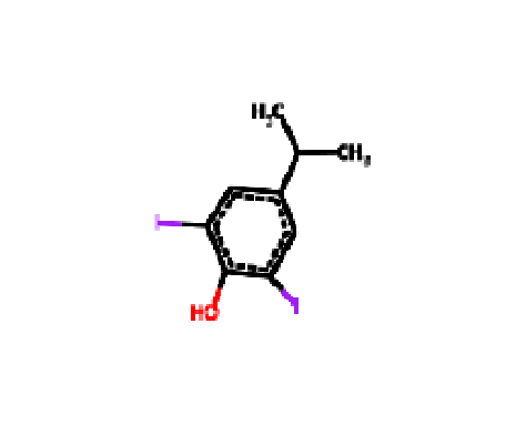 CC(C)c1cc(I)c(O)c(I)c1